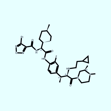 CCc1nonc1C(=O)N[C@H](C(=O)Nc1ccc([C@H](C)[C@@H](NCCC2CC2)C(=O)N2CCN(C)[C@H](C)C2)cc1F)[C@H]1CC[C@H](C)CC1